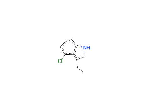 CCc1c[nH]c2cccc(Cl)c12